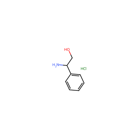 Cl.NC(CO)c1ccccc1